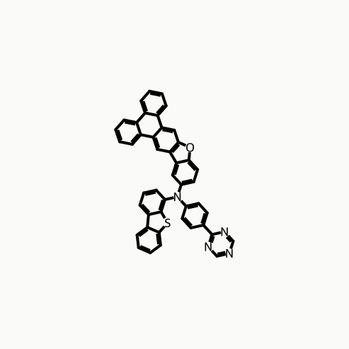 c1ccc2c(c1)sc1c(N(c3ccc(-c4ncncn4)cc3)c3ccc4oc5cc6c7ccccc7c7ccccc7c6cc5c4c3)cccc12